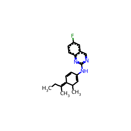 CC/C(C)=C1\C=CC(Nc2ncc3cc(F)ccc3n2)=CC1C